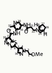 COCCn1cc(-c2cn3ncc(C(=O)Nc4cc(NC(=O)CCN5C[C@@H]6CC[C@H]5C6)cnc4C)c3s2)cn1